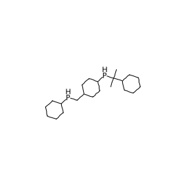 CC(C)(PC1CCC(CPC2CCCCC2)CC1)C1CCCCC1